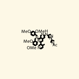 COc1ccc(CN(Cc2ccc(OC)cc2OC)c2nc(-c3cnccc3C)cc3cc(Nc4cnn(C5CN(C(C)=O)C5)c4)ncc23)c(OC)c1